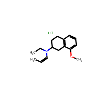 C/C=C\N(CC)C1CCc2cccc(OC)c2C1.Cl